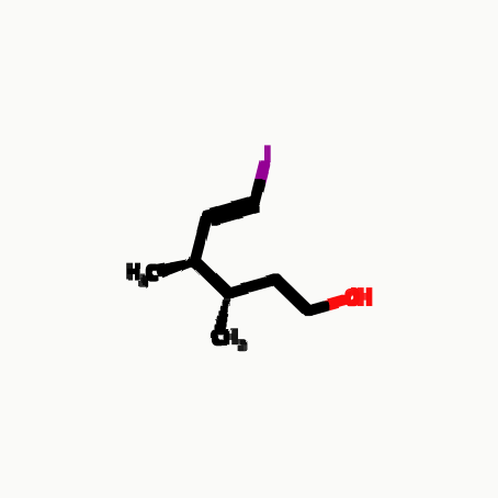 C[C@@H](/C=C/I)[C@@H](C)CCO